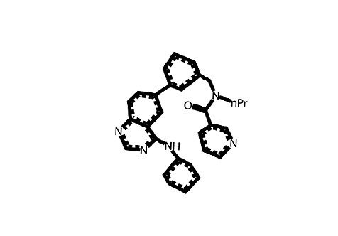 CCCN(Cc1cccc(-c2ccc3ncnc(Nc4ccccc4)c3c2)c1)C(=O)c1cccnc1